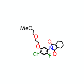 COCCOCCOc1cc(N2C(=O)C3=C(CCCC3)C2=O)c(F)cc1Cl